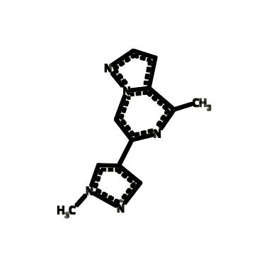 Cc1nc(-c2cnn(C)c2)cn2nccc12